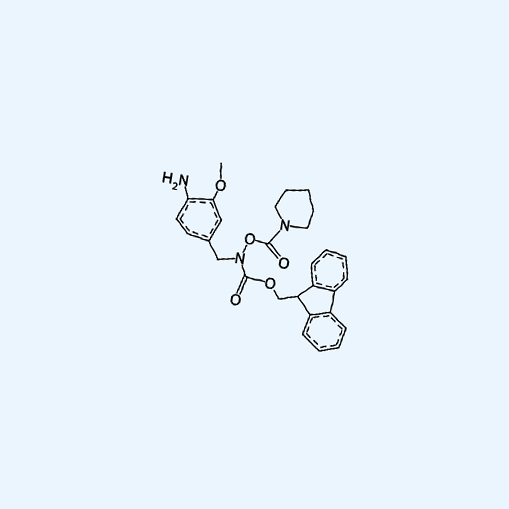 COc1cc(CN(OC(=O)N2CCCCC2)C(=O)OCC2c3ccccc3-c3ccccc32)ccc1N